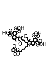 C=C(/C=C/C=C1/N(CCCCCC(=O)ON2C(=O)CCC2=O)c2ccc3c(S(=O)(=O)O)cc(S(=O)(=O)O)cc3c2C1(C)CCOC)C(C)(CCOC)c1c(C)ccc2c(S(=O)(=O)O)cc(S(=O)(=O)O)cc12